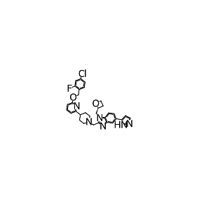 Fc1cc(Cl)ccc1COc1cccc(C2CCN(Cc3nc4cc(-c5ccn[nH]5)ccc4n3C[C@@H]3CCO3)CC2)n1